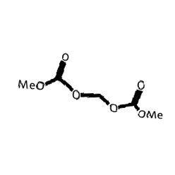 COC(=O)O[CH]OC(=O)OC